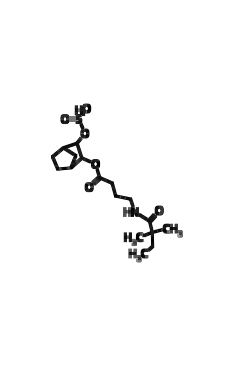 CCC(C)(C)C(=O)NCCCC(=O)OC1C2CCC(C2)C1O[SH](=O)=O